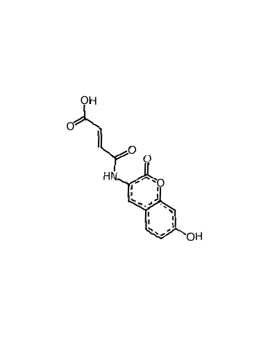 O=C(O)C=CC(=O)Nc1cc2ccc(O)cc2oc1=O